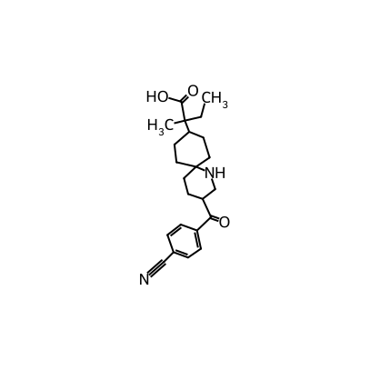 CCC(C)(C(=O)O)C1CCC2(CCC(C(=O)c3ccc(C#N)cc3)CN2)CC1